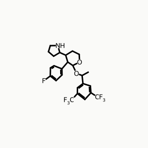 CC(OC1OCCC(C2CCCN2)C1c1ccc(F)cc1)c1cc(C(F)(F)F)cc(C(F)(F)F)c1